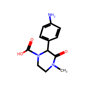 CN1CCN(C(=O)O)C(c2ccc(N)cc2)C1=O